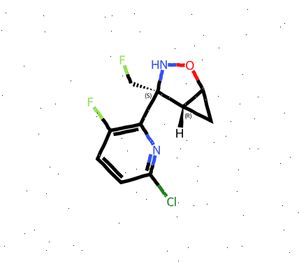 FC[C@]1(c2nc(Cl)ccc2F)NOC2C[C@@H]21